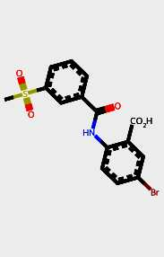 CS(=O)(=O)c1cccc(C(=O)Nc2ccc(Br)cc2C(=O)O)c1